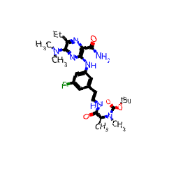 CCc1nc(C(N)=O)c(Nc2cc(F)cc(CCNC(=O)[C@H](C)N(C)C(=O)OC(C)(C)C)c2)nc1N(C)C